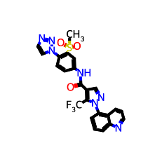 CS(=O)(=O)c1cc(NC(=O)c2cnn(-c3cccc4ncccc34)c2C(F)(F)F)ccc1-n1ccnn1